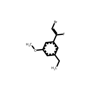 CCc1cc(OC)cc(/C(F)=C/Br)c1